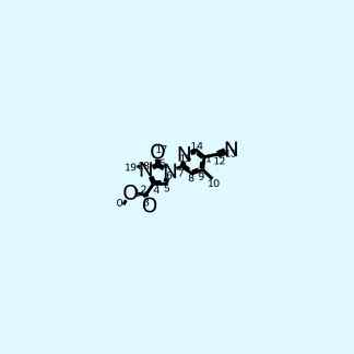 COC(=O)c1cn(-c2cc(C)c(C#N)cn2)c(=O)n1C